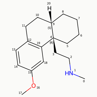 CNCC[C@]12CCCC[C@H]1CCc1ccc(OC)cc12